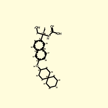 C[C@@](CO)(NC(=O)O)c1ccc2cc(OC3CCC4(CCCCC4)CC3)ccc2c1